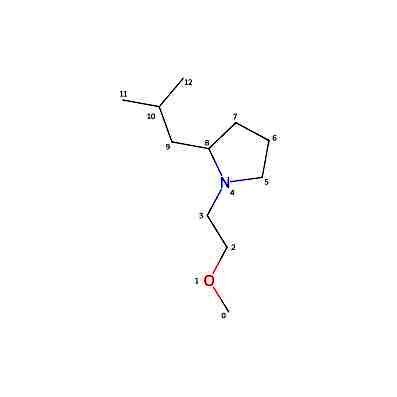 COCCN1CCCC1CC(C)C